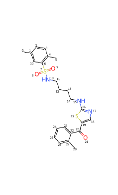 Cc1ccc(C)c(S(=O)(=O)NCCCCNc2ncc(C(=O)c3ccccc3C)s2)c1